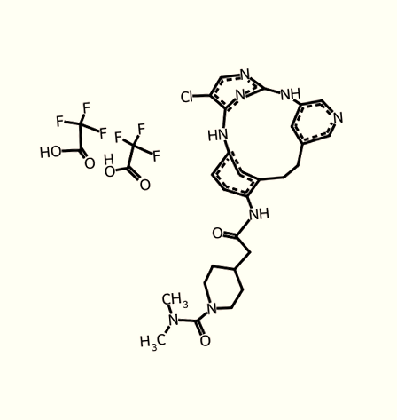 CN(C)C(=O)N1CCC(CC(=O)Nc2ccc3cc2CCc2cncc(c2)Nc2ncc(Cl)c(n2)N3)CC1.O=C(O)C(F)(F)F.O=C(O)C(F)(F)F